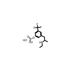 CCNC(C)Cc1cccc(C(F)(F)F)c1.Cl.O=[N+]([O-])O